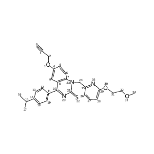 C#CCOc1ccc2c(c1)c(-c1ccc(C(C)C)cc1)nc(=S)n2Cc1cccc(OCCOC)n1